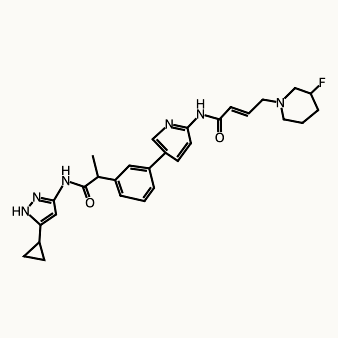 CC(C(=O)Nc1cc(C2CC2)[nH]n1)c1cccc(-c2ccc(NC(=O)C=CCN3CCCC(F)C3)nc2)c1